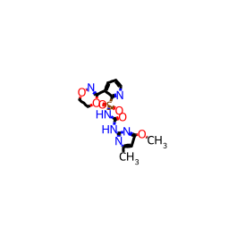 COc1cc(C)nc(NC(=O)NS(=O)(=O)c2ncccc2C2=NOCCO2)n1